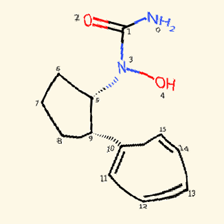 NC(=O)N(O)[C@H]1CCC[C@H]1c1ccccc1